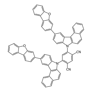 N#Cc1cc(C#N)c(-n2c3ccc(-c4ccc5c(c4)oc4ccccc45)cc3c3c4ccccc4ccc32)cc1-n1c2ccc(-c3ccc4c(c3)oc3ccccc34)cc2c2c3ccccc3ccc21